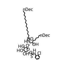 CCCCCCCCCCCCCCCCCCCCCCCCCCN[C@@H](CO[C@@H]1O[C@H](COC(=S)Nc2ccccc2Cl)[C@H](O)[C@H](O)[C@H]1O)[C@H](O)[C@H](O)CCCCCCCCCCCCCC